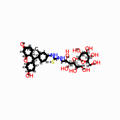 O=C(O)c1cc(NC(=S)NC[C@H](O)[C@@H](O)[C@H](O[C@@H]2O[C@H](CO)[C@@H](O)[C@H](O)[C@H]2O)[C@H](O)CO)ccc1-c1c2ccc(=O)cc-2oc2cc(O)ccc12